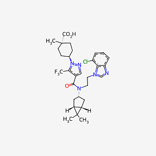 CC1(C)[C@@H]2C[C@H](N(CCn3cnc4cccc(Cl)c43)C(=O)c3cnn([C@H]4CC[C@](C)(C(=O)O)CC4)c3C(F)(F)F)C[C@@H]21